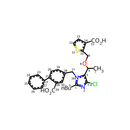 CCCCc1nc(Cl)c(C(C)OCc2sccc2C(=O)O)n1Cc1ccc(-c2ccccc2)c(C(=O)O)c1